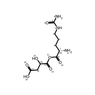 NC(=O)NCCC[C@H](N)C(=O)OC(=O)C(O)CC(=O)O